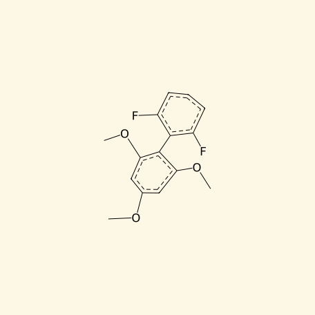 COc1cc(OC)c(-c2c(F)cccc2F)c(OC)c1